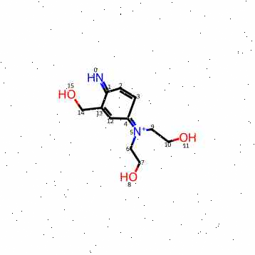 N=C1C=CC(=[N+](CCO)CCO)C=C1CO